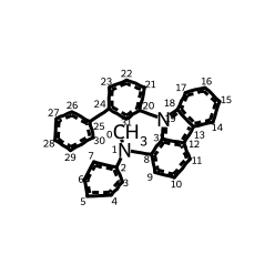 CN(c1ccccc1)c1cccc2c3ccccc3n(-c3cccc(-c4ccccc4)c3)c12